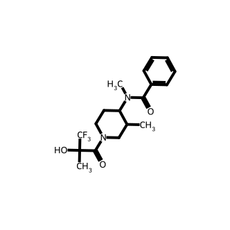 CC1CN(C(=O)C(C)(O)C(F)(F)F)CCC1N(C)C(=O)c1ccccc1